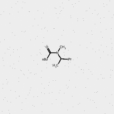 CCCCC(=O)N(C)C(C)C(C)C